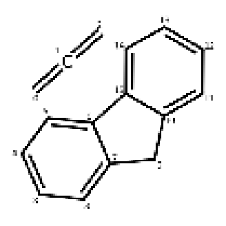 C=C=C.c1ccc2c(c1)Cc1ccccc1-2